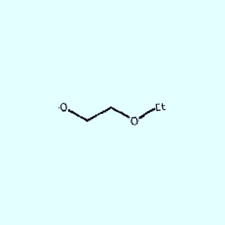 [CH2]COCC[O]